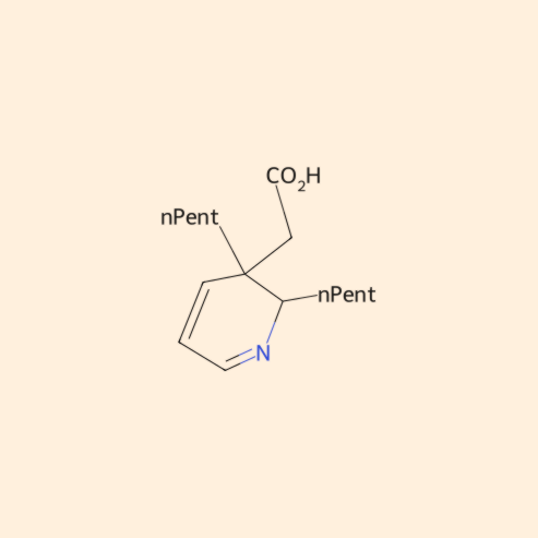 CCCCCC1N=CC=CC1(CCCCC)CC(=O)O